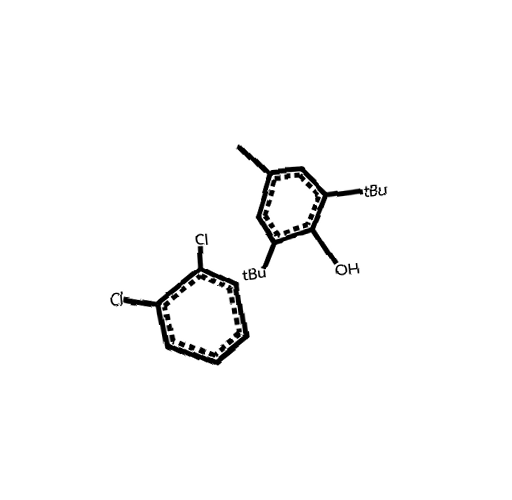 Cc1cc(C(C)(C)C)c(O)c(C(C)(C)C)c1.Clc1ccccc1Cl